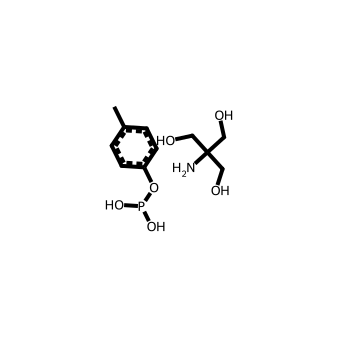 Cc1ccc(OP(O)O)cc1.NC(CO)(CO)CO